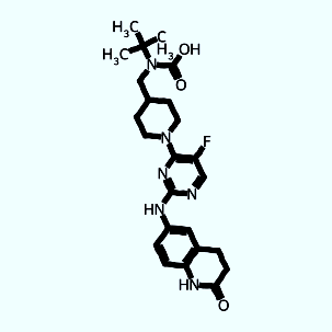 CC(C)(C)N(CC1CCN(c2nc(Nc3ccc4c(c3)CCC(=O)N4)ncc2F)CC1)C(=O)O